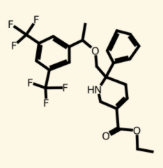 CCOC(=O)C1=CCC(COC(C)c2cc(C(F)(F)F)cc(C(F)(F)F)c2)(c2ccccc2)NC1